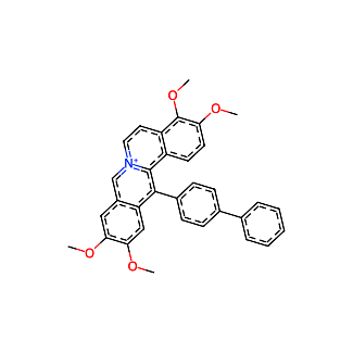 COc1cc2c[n+]3ccc4c(OC)c(OC)ccc4c3c(-c3ccc(-c4ccccc4)cc3)c2cc1OC